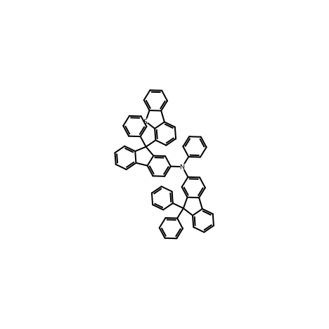 c1ccc(N(c2ccc3c(c2)C(c2ccccc2)(c2ccccc2)c2ccccc2-3)c2ccc3c(c2)C(c2ccccc2)(c2cccc4c2sc2ccccc24)c2ccccc2-3)cc1